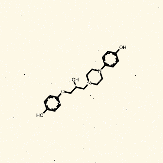 Oc1ccc(OC[C@@H](O)CN2CCN(c3ccc(O)cc3)CC2)cc1